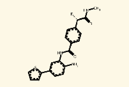 CNC(=O)[C@@H](F)c1ccc(C(=O)Nc2cc(-c3cccs3)ccc2N)cc1